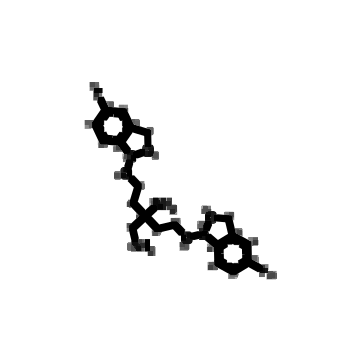 NCC(N)(CCOB1OCc2cc(F)ccc21)CCOB1OCc2cc(F)ccc21